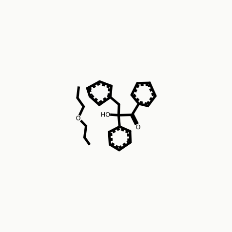 CCCOCCC.O=C(c1ccccc1)C(O)(Cc1ccccc1)c1ccccc1